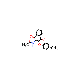 CC(=O)NC1=C(Oc2ccc(C)cc2)C(=O)c2ccccc2C1=O